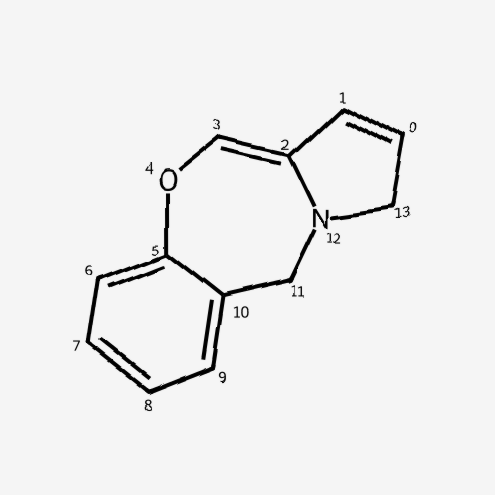 C1=CC2=COc3ccccc3CN2C1